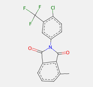 Cc1cccc2c1C(=O)N(c1ccc(Cl)c(C(F)(F)F)c1)C2=O